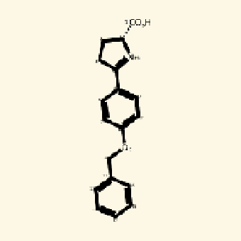 O=C(O)[C@H]1CCC(c2ccc(OCc3ccccc3)cc2)=N1